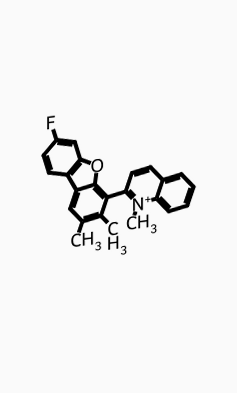 Cc1cc2c(oc3cc(F)ccc32)c(-c2ccc3ccccc3[n+]2C)c1C